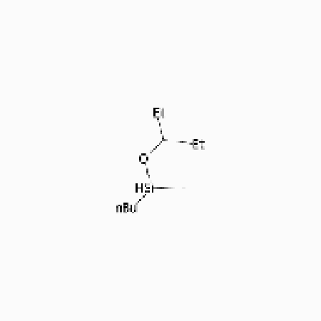 CCCC[SiH](C)OC(CC)CC